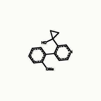 COc1ccccc1-c1ccncc1C1(O)CC1